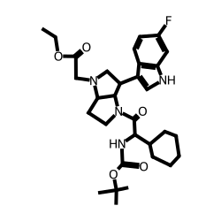 CCOC(=O)CN1CC(c2c[nH]c3cc(F)ccc23)C2C1CCN2C(=O)C(NC(=O)OC(C)(C)C)C1CCCCC1